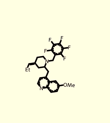 CC/C=C1/CCN(Cc2c(F)c(F)c(F)c(F)c2F)C(Cc2ccnc3ccc(OC)cc23)C1